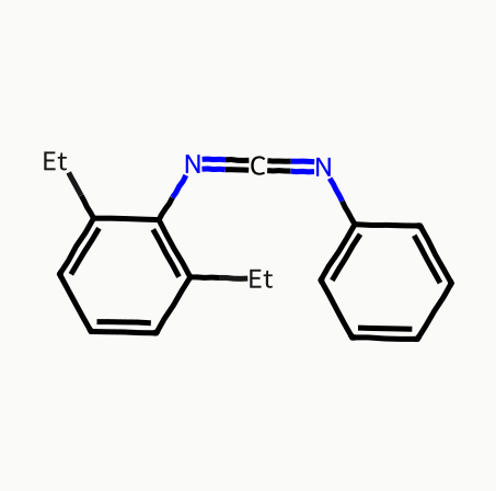 CCc1cccc(CC)c1N=C=Nc1ccccc1